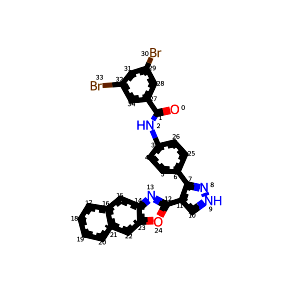 O=C(Nc1ccc(-c2n[nH]cc2-c2nc3cc4ccccc4cc3o2)cc1)c1cc(Br)cc(Br)c1